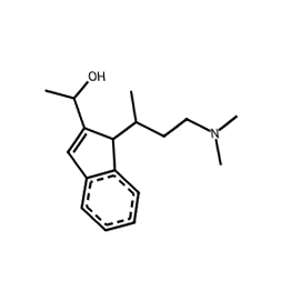 CC(O)C1=Cc2ccccc2C1C(C)CCN(C)C